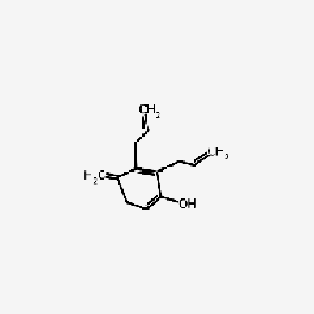 C=CCC1=C(CC=C)C(O)=CCC1=C